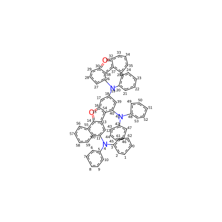 c1ccc(N(c2ccccc2)c2cc3c(oc4cc(N(c5ccccc5)c5cccc6oc7ccccc7c56)cc(N(c5ccccc5)c5ccccc5)c43)c3ccccc23)cc1